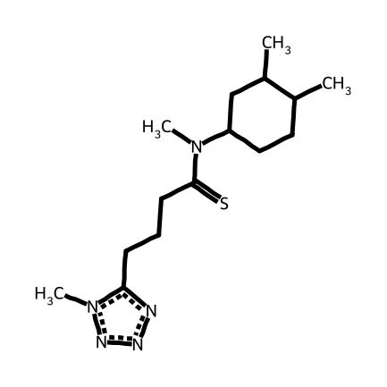 CC1CCC(N(C)C(=S)CCCc2nnnn2C)CC1C